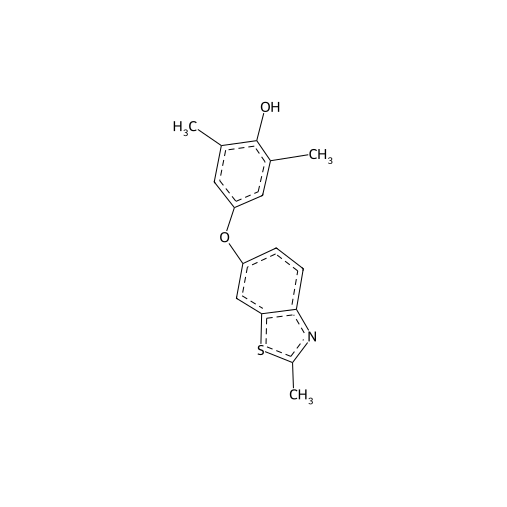 Cc1nc2ccc(Oc3cc(C)c(O)c(C)c3)cc2s1